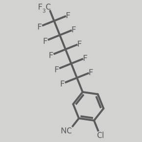 N#Cc1cc(C(F)(F)C(F)(F)C(F)(F)C(F)(F)C(F)(F)C(F)(F)F)ccc1Cl